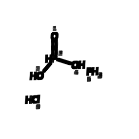 Cl.O=[PH](O)O.P